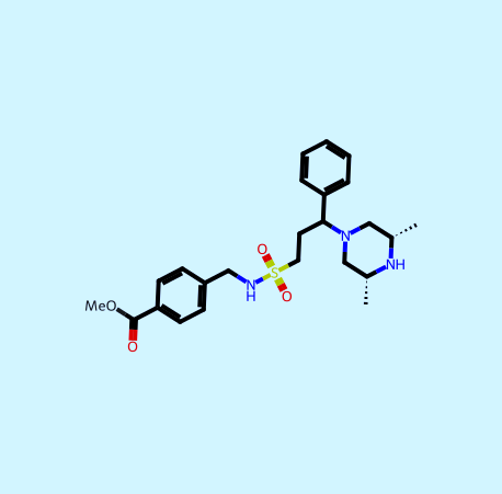 COC(=O)c1ccc(CNS(=O)(=O)CCC(c2ccccc2)N2C[C@@H](C)N[C@@H](C)C2)cc1